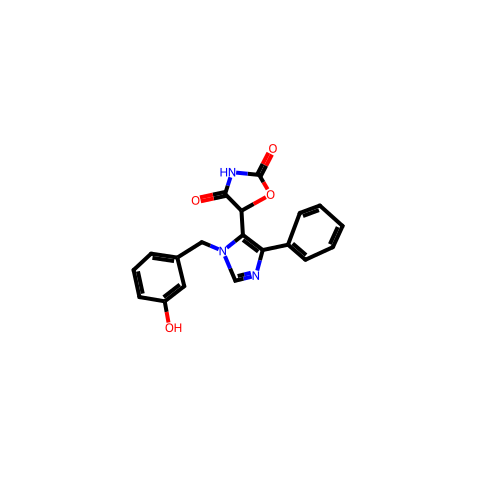 O=C1NC(=O)C(c2c(-c3ccccc3)ncn2Cc2cccc(O)c2)O1